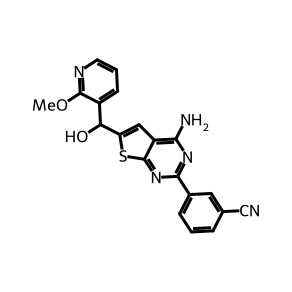 COc1ncccc1C(O)c1cc2c(N)nc(-c3cccc(C#N)c3)nc2s1